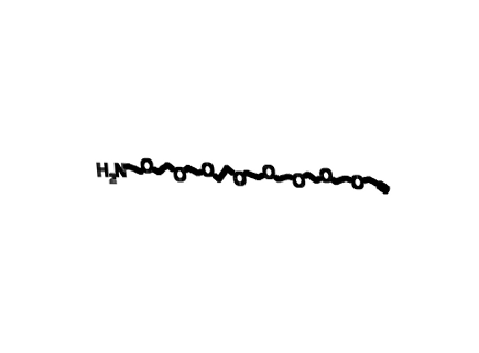 C#CCOCCOCCOCCOCCOCCOCCOCCOCCN